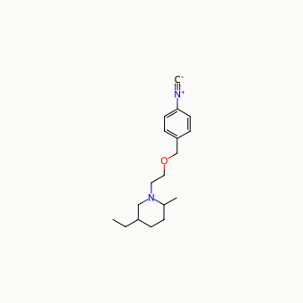 [C-]#[N+]c1ccc(COCCN2CC(CC)CCC2C)cc1